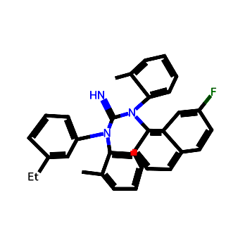 CCc1cccc(N(C(=N)N(c2ccccc2C)c2cccc3ccc(F)cc23)c2ccccc2C)c1